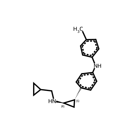 Cc1ccc(Nc2ccc([C@@H]3C[C@H]3NCC3CC3)cc2)cc1